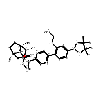 COCOc1cc(B2OC(C)(C)C(C)(C)O2)ccc1-c1cnc(N(C)[C@@H]2C[C@H]3CC[C@@H]([C@@H]2F)N3C(=O)OC(C)(C)C)cn1